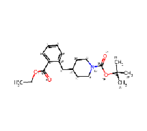 CCOC(=O)c1ccccc1CC1CCN(C(=O)OC(C)(C)C)CC1